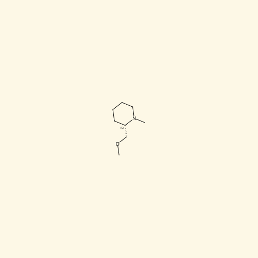 COC[C@@H]1CCCCN1C